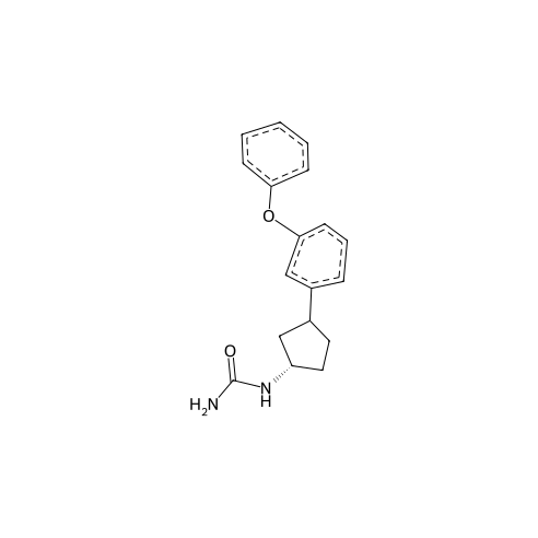 NC(=O)N[C@H]1CCC(c2cccc(Oc3ccccc3)c2)C1